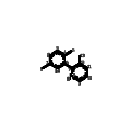 Cc1ccc(C)c(-c2ncccc2C)c1